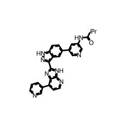 CC(C)C(=O)Nc1cncc(-c2ccc3[nH]nc(-c4nc5c(-c6cccnc6)ccnc5[nH]4)c3c2)c1